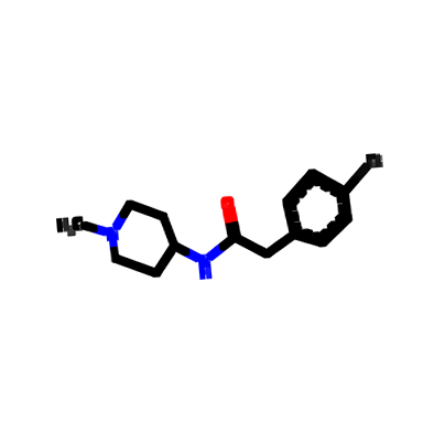 CCc1ccc(CC(=O)NC2CCN(C)CC2)cc1